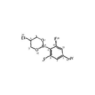 CCCc1cc(F)c(B2OCC(CC)CO2)c(F)c1